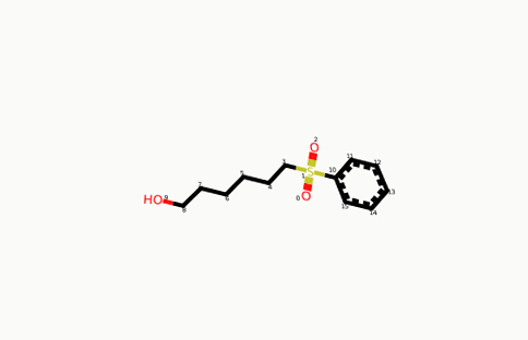 O=S(=O)(CCCCCCO)c1ccccc1